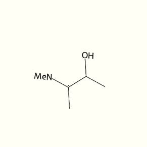 CN[C](C)C(C)O